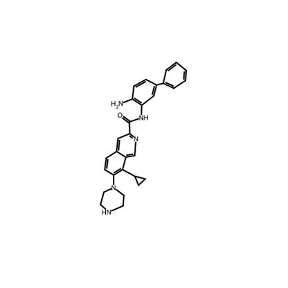 Nc1ccc(-c2ccccc2)cc1NC(=O)c1cc2ccc(N3CCNCC3)c(C3CC3)c2cn1